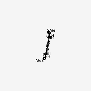 CSc1ccc(NC(=O)NCCCOCCOCCOCCCNC(=O)Nc2ccc(SC)cc2)cc1